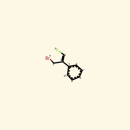 FC=C(CBr)c1ccccc1